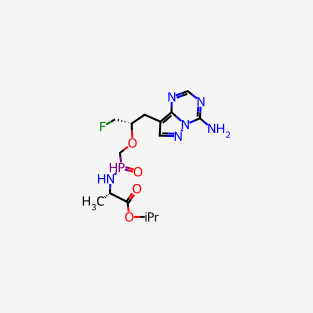 CC(C)OC(=O)[C@H](C)N[PH](=O)CO[C@H](CF)Cc1cnn2c(N)ncnc12